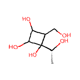 C[C@@H](O)C1(O)C(O)C(O)C1CO